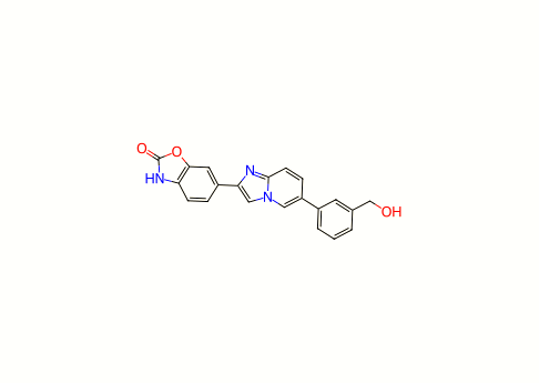 O=c1[nH]c2ccc(-c3cn4cc(-c5cccc(CO)c5)ccc4n3)cc2o1